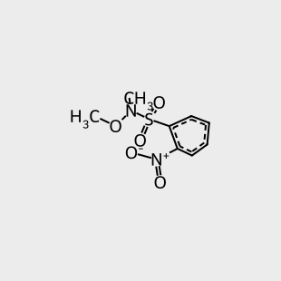 CON(C)S(=O)(=O)c1ccccc1[N+](=O)[O-]